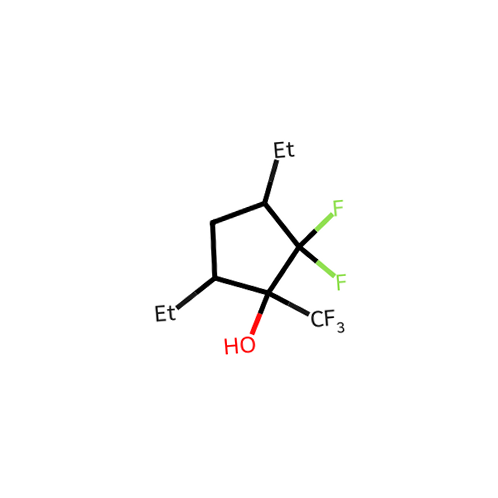 CCC1CC(CC)C(O)(C(F)(F)F)C1(F)F